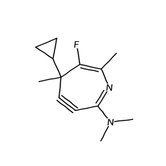 CC1=C(F)C(C)(C2CC2)C#CC(N(C)C)=N1